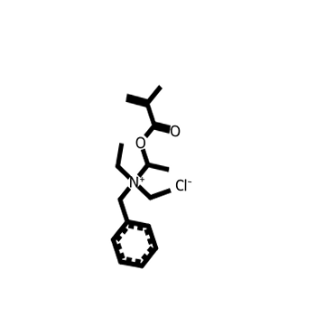 C=C(C)C(=O)OC(C)[N+](CC)(CC)Cc1ccccc1.[Cl-]